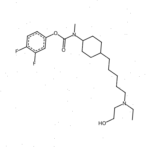 CCN(CCO)CCCCCC1CCC(N(C)C(=O)Oc2ccc(F)c(F)c2)CC1